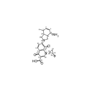 CC1C=CC(N)C2CN(c3ccc4c(=O)c(C(=O)O)cn([C@@H]5C[C@H]5F)c4c3Cl)CC12